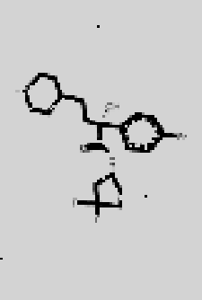 O=C(O[C@@H]1CCC(F)(F)C1)[C@@](O)(CCC1CCNCC1)c1ccc(Br)cc1